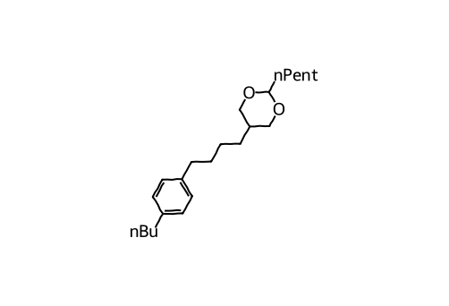 CCCCCC1OCC(CCCCc2ccc(CCCC)cc2)CO1